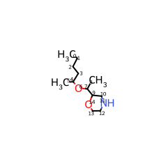 CCCCC(C)OC(C)C1CNCCO1